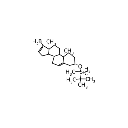 BC1=CCC2C3CC=C4C[C@@H](O[Si](C)(C)C(C)(C)C)CC[C@]4(C)C3CC[C@]12C